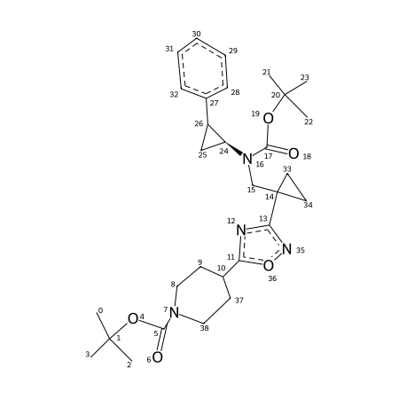 CC(C)(C)OC(=O)N1CCC(c2nc(C3(CN(C(=O)OC(C)(C)C)[C@H]4CC4c4ccccc4)CC3)no2)CC1